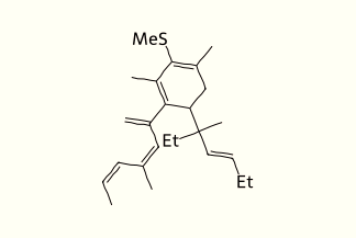 C=C(/C=C(C)\C=C/C)C1=C(C)C(SC)=C(C)CC1C(C)(C=CCC)CC